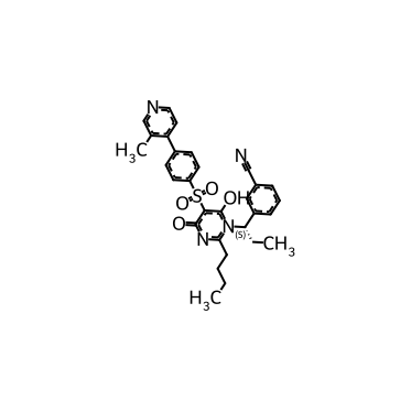 CCCCc1nc(=O)c(S(=O)(=O)c2ccc(-c3ccncc3C)cc2)c(O)n1[C@@H](CC)c1cccc(C#N)c1